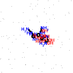 NCCCNCC1=CC[C@@H](N)[C@@H](O[C@H]2[C@H](O[C@@H]3O[C@H](CO)[C@@H](O[C@H]4O[C@@H](CN)[C@@H](O)[C@H](O)[C@H]4N)[C@H]3O)[C@@H](O)[C@H](NCC(O)CN)C[C@@H]2N)O1